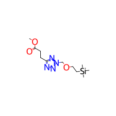 COC(=O)CCc1nnn(COCC[Si](C)(C)C)n1